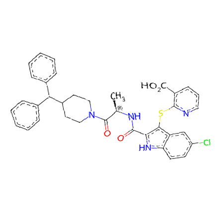 C[C@@H](NC(=O)c1[nH]c2ccc(Cl)cc2c1Sc1ncccc1C(=O)O)C(=O)N1CCC(C(c2ccccc2)c2ccccc2)CC1